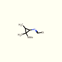 CCC=NC1C(C)C1(C)NC